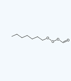 CCCCCCCOOOC=O